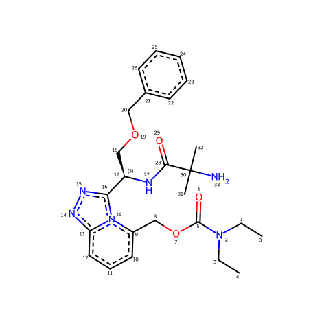 CCN(CC)C(=O)OCc1cccc2nnc([C@@H](COCc3ccccc3)NC(=O)C(C)(C)N)n12